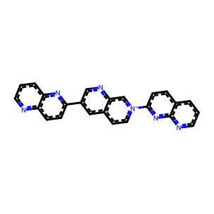 c1cnc2nc(-[n+]3ccc4cc(-c5ccc6ncccc6n5)cnc4c3)ccc2c1